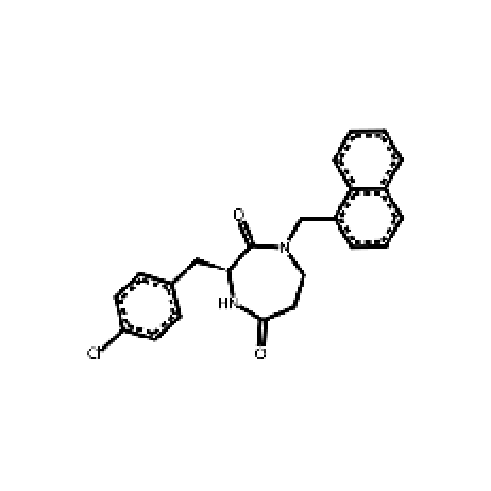 O=C1CCN(Cc2cccc3ccccc23)C(=O)[C@H](Cc2ccc(Cl)cc2)N1